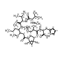 CC[C@H](C)C(C(CC(=O)N1[C@H](C(OC)[C@@H](C)C(=O)N[C@@H](Cc2cccs2)C(=O)O)C[C@@H]2C[C@@H]21)OC)N(C)C(=O)[C@@H](NC(=O)[C@@H](NC)C(C)C)C(C)C